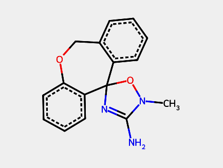 CN1OC2(N=C1N)c1ccccc1COc1ccccc12